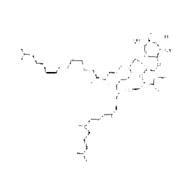 CC(C)CCC[C@@H](C)CCC[C@H](C)CCC[C@H](C)CCOC[C@@H](CO[C@H]1O[C@H](CO)[C@@H](O)[C@H](O)[C@@H]1O[C@@H]1O[C@H](CO)[C@@H](O)[C@H](O)[C@@H]1O)OCC[C@@H](C)CCC[C@@H](C)CCC[C@H](C)CCCC(C)C